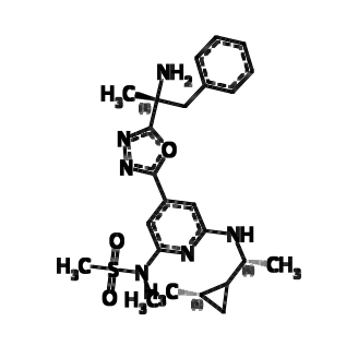 C[C@H]1CC1[C@@H](C)Nc1cc(-c2nnc([C@](C)(N)Cc3ccccc3)o2)cc(N(C)S(C)(=O)=O)n1